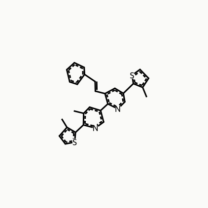 Cc1cc(-c2ncc(-c3sccc3C)cc2C=Cc2ccccc2)cnc1-c1sccc1C